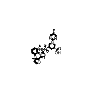 COc1cccc(OC)c1-n1c(NS(=O)(=O)[C@@H]2C[C@@H](C(=O)O)CN(c3ncc(F)cn3)C2)nnc1-c1ccco1